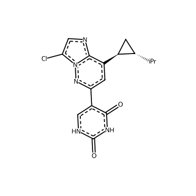 CC(C)[C@H]1C[C@@H]1c1cc(-c2c[nH]c(=O)[nH]c2=O)nn2c(Cl)cnc12